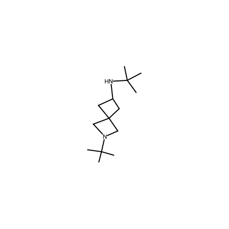 CC(C)(C)NC1CC2(C1)CN(C(C)(C)C)C2